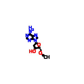 C#COC[C@H]1O[C@@H](n2cnc3c(N)ncnc32)C[C@@H]1O